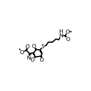 COC(=O)NCCCCCSC1=CC(=O)c2onc(C(=O)OC)c2C1=O